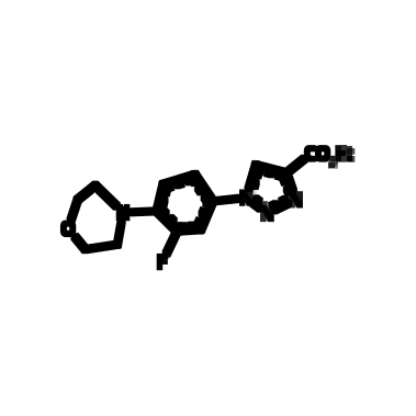 CCOC(=O)c1cn(-c2ccc(N3CCOCC3)c(F)c2)nn1